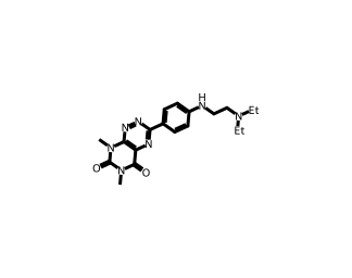 CCN(CC)CCNc1ccc(-c2nnc3c(n2)c(=O)n(C)c(=O)n3C)cc1